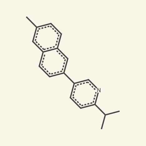 Cc1ccc2cc(-c3ccc(C(C)C)nc3)ccc2c1